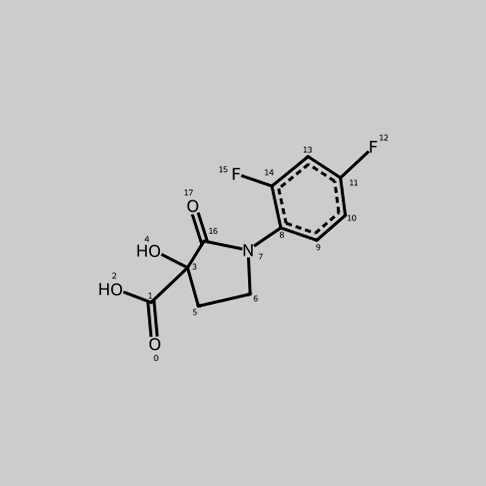 O=C(O)C1(O)CCN(c2ccc(F)cc2F)C1=O